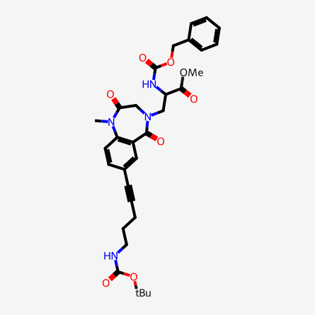 COC(=O)C(CN1CC(=O)N(C)c2ccc(C#CCCCNC(=O)OC(C)(C)C)cc2C1=O)NC(=O)OCc1ccccc1